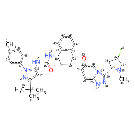 Cc1ccc(-n2nc(C(C)(C)C)cc2NC(=O)N[C@H]2CC[C@@H](Oc3ccc4nnc([C@@H]5C[C@@H](F)CN5C)n4c3)c3ccccc32)cc1